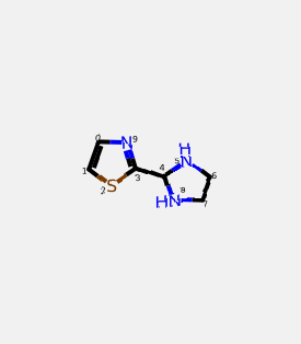 c1csc(C2NCCN2)n1